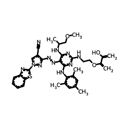 C=C(O)C(=C)OCCNc1nc(Nc2c(C)cc(C)cc2C)c(N=Nc2nn(-c3nc4ccccc4s3)cc2C#N)c(NC(C)COC)n1